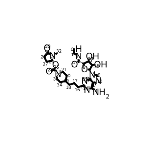 CCNC(=O)[C@H]1O[C@@H](n2cnc3c(N)nc(CCCC4CCN(C(=O)OC5CCC(=O)N5C)CC4)nc32)C(O)[C@H]1O